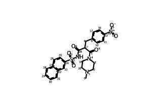 CN1CCN(C(=O)C(Cc2ccc([N+](=O)[O-])cc2)C(=O)NS(=O)(=O)c2ccc3ccccc3c2)CC1